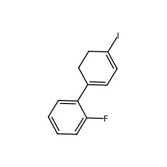 Fc1ccccc1C1=CC=C(I)CC1